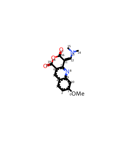 COc1ccc2cc3c(nc2c1)C(=CN(C)C)C(=O)OC3=O